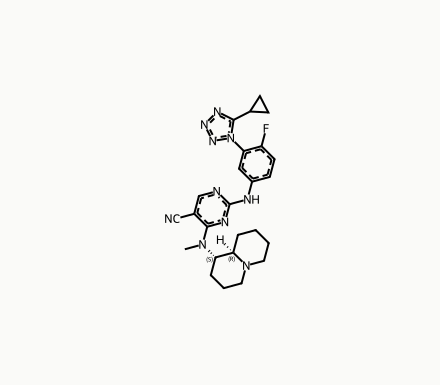 CN(c1nc(Nc2ccc(F)c(-n3nnnc3C3CC3)c2)ncc1C#N)[C@H]1CCCN2CCCC[C@H]12